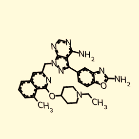 CCN1CCC(Oc2nc(Cn3nc(-c4ccc5oc(N)nc5c4)c4c(N)ncnc43)cc3cccc(C)c23)CC1